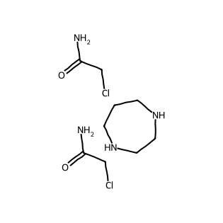 C1CNCCNC1.NC(=O)CCl.NC(=O)CCl